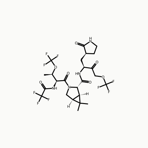 C[C@@H](OC(F)(F)F)[C@H](NC(=O)C(F)(F)F)C(=O)N1C[C@H]2[C@@H]([C@H]1C(=O)N[C@@H](C[C@@H]1CCNC1=O)C(=O)COC(F)(F)F)C2(C)C